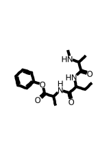 CCC(NC(=O)C(C)NC)C(=O)NC(C)C(=O)Oc1ccccc1